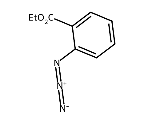 CCOC(=O)c1ccccc1N=[N+]=[N-]